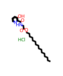 CCCCCCCCCCCCCCCCOC(=O)CNC(=O)c1ncccc1O.Cl